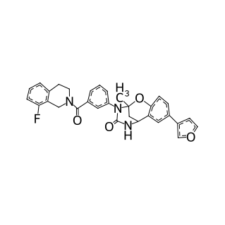 CC12CC(NC(=O)N1c1cccc(C(=O)N3CCc4cccc(F)c4C3)c1)c1cc(-c3ccoc3)ccc1O2